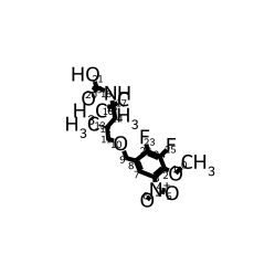 COc1c([N+](=O)[O-])cc(COC[C@H](C)CC(C)(C)NC(=O)O)c(F)c1F